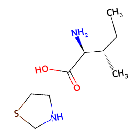 C1CSCN1.CC[C@H](C)[C@H](N)C(=O)O